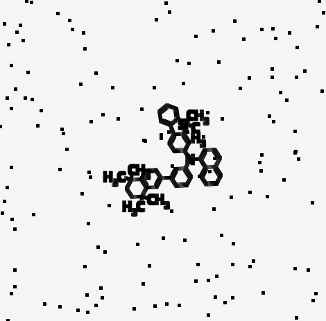 CC1(C)CCC(C)(C)c2cc(-c3cccc(N(c4ccc5c(c4)[Si](C)(C)c4ccccc4-5)c4cccc5ccccc45)c3)ccc21